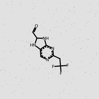 O=CC1Nc2cnc(CC(F)(F)F)nc2N1